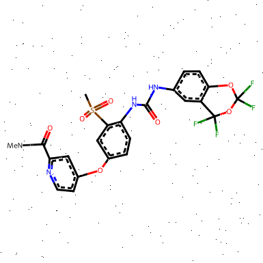 CNC(=O)c1cc(Oc2ccc(NC(=O)Nc3ccc4c(c3)C(F)(F)OC(F)(F)O4)c(S(C)(=O)=O)c2)ccn1